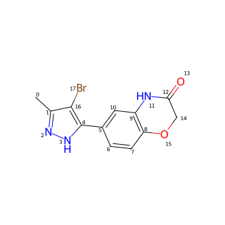 Cc1n[nH]c(-c2ccc3c(c2)NC(=O)CO3)c1Br